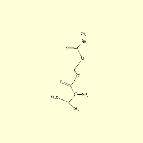 CNC(=O)OCOC(=O)[C@@H](N)C(C)C